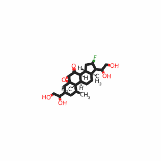 CC1CC(C(O)CO)CC23OC2C(=O)[C@@H]2[C@@H](CC[C@]4(C)C(C(O)CO)C(F)C[C@@H]24)[C@@]13C